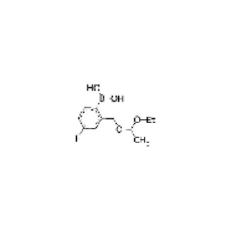 CCOC(C)OCc1cc(F)ccc1B(O)O